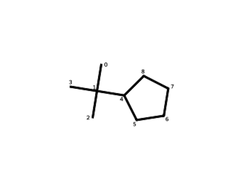 CC(C)(C)C1CCCC1